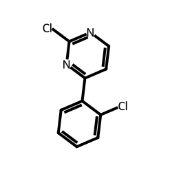 Clc1nccc(-c2ccccc2Cl)n1